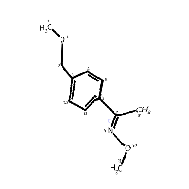 COCc1ccc(/C(C)=N/OC)cc1